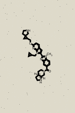 Cn1c(-c2cc3ccc(OCC4CC45CCNC5)nc3n2CC2CC2)nc2cc(C(=O)N3CC[C@@H]4CCN[C@@H]4C3)ccc21